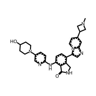 CN1CC(c2ccn3c(-c4ccc(Nc5ccc(N6CCC(O)CC6)cn5)c5c4CNC5=O)cnc3c2)C1